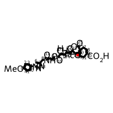 COc1ccc(-n2cc(CNC(=O)COC(=O)/C(C)=C/C=C/C3(C)OC(=O)C45CC=C(C(=O)O)CCC4(OC(C)=O)C3CC5)nn2)cc1